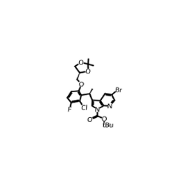 C[C@H](c1c(OC[C@H]2COC(C)(C)O2)ccc(F)c1Cl)c1cn(C(=O)OC(C)(C)C)c2ncc(Br)cc12